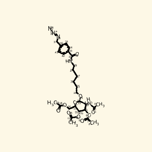 CC(=O)N[C@H]1C(OC(C)=O)[C@H](OC(C)=O)C(COC(C)=O)O[C@H]1OCCCCCCNC(=O)c1ccc(CN=[N+]=[N-])cc1